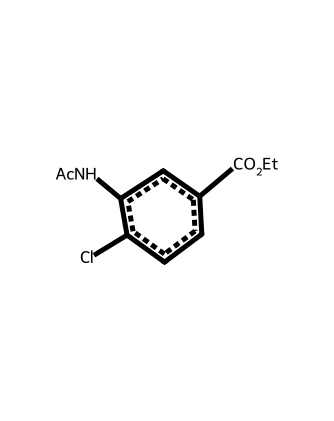 CCOC(=O)c1ccc(Cl)c(NC(C)=O)c1